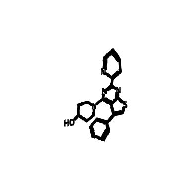 OC1CCN(c2nc(-c3ccccn3)nc3scc(-c4ccccc4)c23)CC1